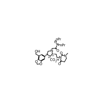 CCCON(CCC)C(=O)CN1C[C@H](c2cc(CO)c3c(c2)OCO3)[C@@H](C(=O)O)[C@@H]1CCN1C(=O)CCN(C)C1=O